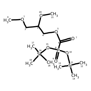 COCC(COC(=O)P(=O)(O[Si](C)(C)C)O[Si](C)(C)C)OC